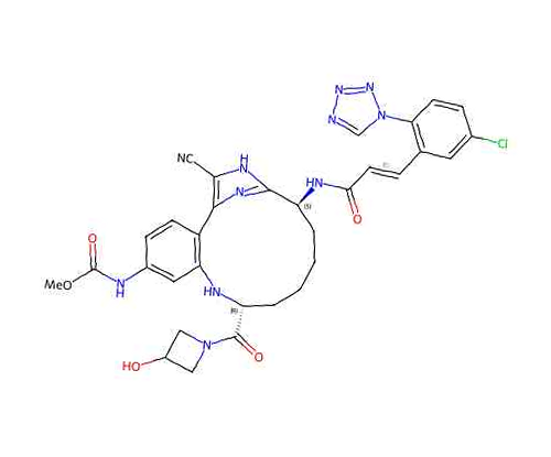 COC(=O)Nc1ccc2c(c1)N[C@@H](C(=O)N1CC(O)C1)CCCC[C@H](NC(=O)/C=C/c1cc(Cl)ccc1-n1cnnn1)c1nc-2c(C#N)[nH]1